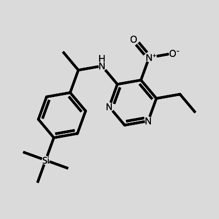 CCc1ncnc(NC(C)c2ccc([Si](C)(C)C)cc2)c1[N+](=O)[O-]